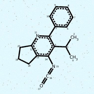 CC(C)c1c(-c2ccccc2)nc2c(c1N=C=O)CCC2